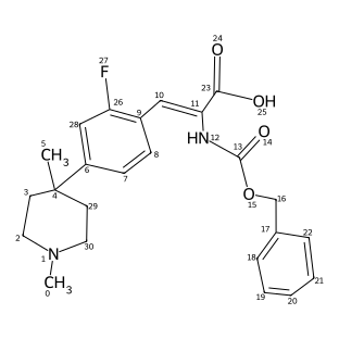 CN1CCC(C)(c2ccc(C=C(NC(=O)OCc3ccccc3)C(=O)O)c(F)c2)CC1